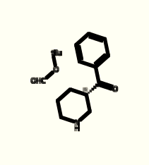 CC(C)(C)OC=O.O=C(c1ccccc1)[C@H]1CCCNC1